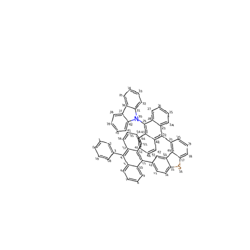 c1ccc(-c2c3ccccc3c(-c3ccc4sc5cccc(-c6c7ccccc7c(-n7c8ccccc8c8ccccc87)c7ccccc67)c5c4c3)c3ccccc23)cc1